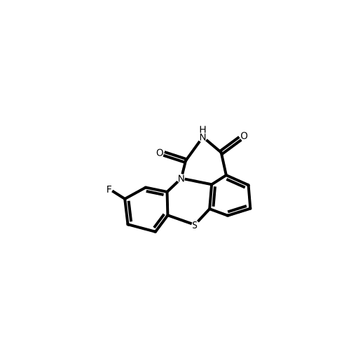 O=c1[nH]c(=O)n2c3c(cccc13)Sc1ccc(F)cc1-2